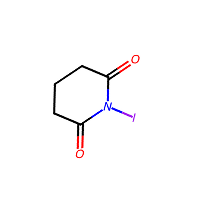 O=C1CCCC(=O)N1I